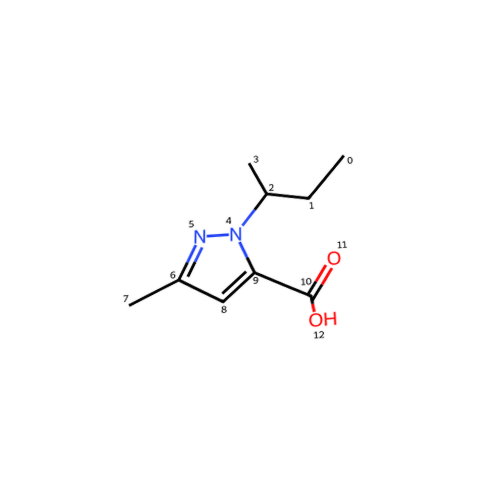 CCC(C)n1nc(C)cc1C(=O)O